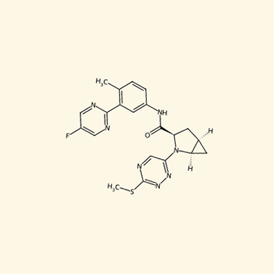 CSc1ncc(N2[C@@H](C(=O)Nc3ccc(C)c(-c4ncc(F)cn4)c3)C[C@H]3C[C@H]32)nn1